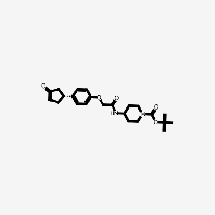 CC(C)(C)OC(=O)N1CCC(NC(=O)COc2ccc([C@@H]3CCC(=O)C3)cc2)CC1